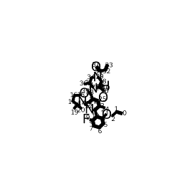 C=CCOc1cccc(F)c1-c1nc(N2CCCC2(C)C)c2c(c1C)OC[C@H]1CN(C(=O)C=C)CC(C)N1C2=O